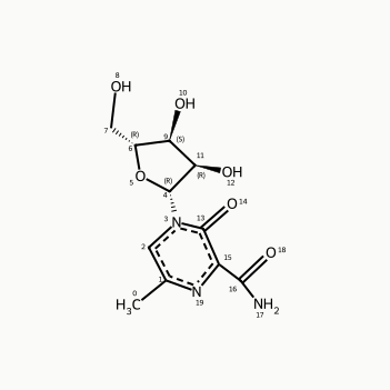 Cc1cn([C@@H]2O[C@H](CO)[C@@H](O)[C@H]2O)c(=O)c(C(N)=O)n1